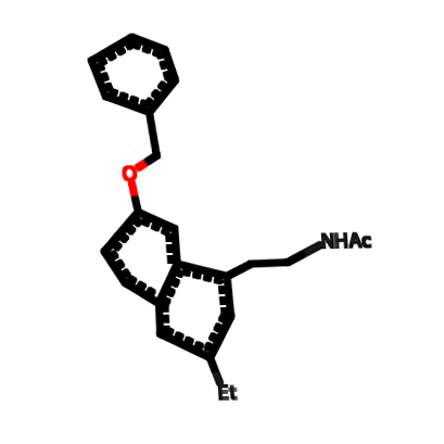 CCc1cc(CCNC(C)=O)c2cc(OCc3ccccc3)ccc2c1